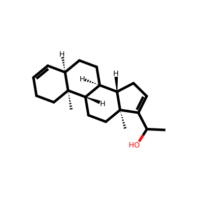 CC(O)C1=CC[C@H]2[C@@H]3CC[C@@H]4C=CCC[C@]4(C)[C@H]3CC[C@]12C